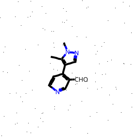 Cc1c(-c2ccncc2C=O)cnn1C